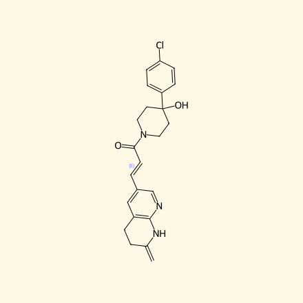 C=C1CCc2cc(/C=C/C(=O)N3CCC(O)(c4ccc(Cl)cc4)CC3)cnc2N1